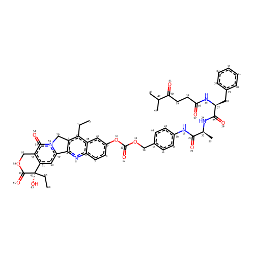 CCc1c2c(nc3ccc(OC(=O)OCc4ccc(NC(=O)[C@H](C)NC(=O)[C@H](Cc5ccccc5)NC(=O)CCC(=O)C(C)C)cc4)cc13)-c1cc3c(c(=O)n1C2)COC(=O)[C@]3(O)CC